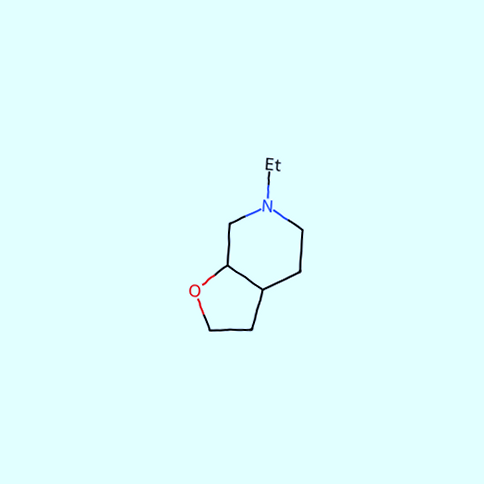 CCN1CCC2CCOC2C1